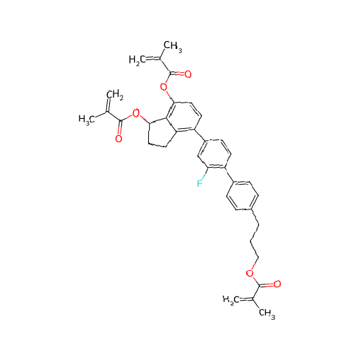 C=C(C)C(=O)OCCCc1ccc(-c2ccc(-c3ccc(OC(=O)C(=C)C)c4c3CCC4OC(=O)C(=C)C)cc2F)cc1